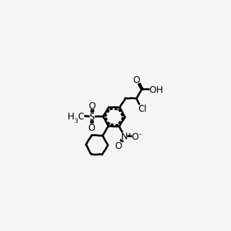 CS(=O)(=O)c1cc(CC(Cl)C(=O)O)cc([N+](=O)[O-])c1C1CCCCC1